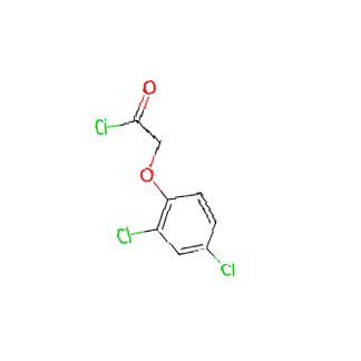 O=C(Cl)COc1ccc(Cl)cc1Cl